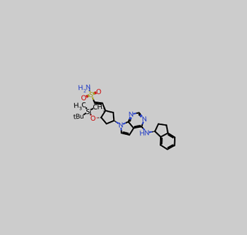 CC(C)(C)[Si](C)(C)O[C@H]1C[C@H](n2ccc3c(N[C@H]4CCc5ccccc54)ncnc32)CC1/C=C/S(N)(=O)=O